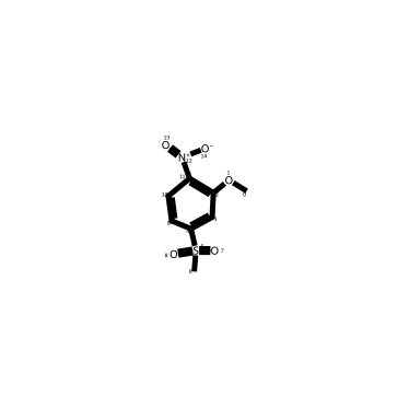 COc1cc(S(C)(=O)=O)ccc1[N+](=O)[O-]